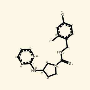 O=C(NCc1ccc(Cl)cc1Cl)N1CCC(Nc2ncccn2)C1